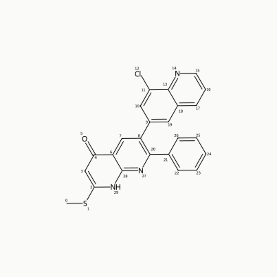 CSc1cc(=O)c2cc(-c3cc(Cl)c4ncccc4c3)c(-c3ccccc3)nc2[nH]1